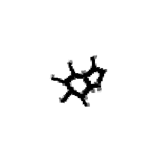 Cc1c(C)c(C)n2c(C)cnc2c1C